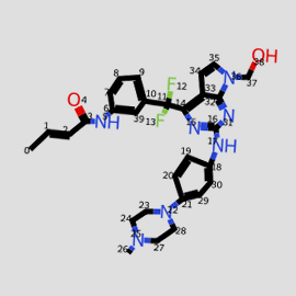 C/C=C/C(=O)Nc1cccc(C(F)(F)c2nc(Nc3ccc(N4CCN(C)CC4)cc3)nc3c2ccn3CO)c1